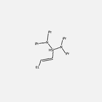 CCC=C[SiH](N(C(C)C)C(C)C)N(C(C)C)C(C)C